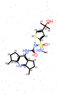 CNS(=O)(=NC(=O)Nc1c2c(nc3c1CCC3C)C(C)CC2)c1cc(C(C)(C)O)cs1